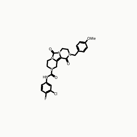 COc1ccc(CN2CCn3c(c4n(c3=O)CCN(C(=O)Nc3ccc(F)c(Cl)c3)C4)C2=O)cc1